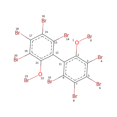 BrOc1c(Br)c(Br)c(Br)c(Br)c1-c1c(Br)c(Br)c(Br)c(Br)c1OBr